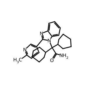 Cc1ccc(-c2nc3ccccc3n2C(C(N)=O)(C2CCCCC2)C2CCCCC2)cn1